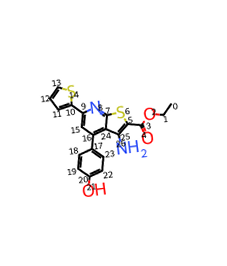 CCOC(=O)c1sc2nc(-c3cccs3)cc(-c3ccc(O)cc3)c2c1N